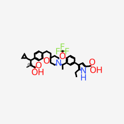 CCc1[nH]c(C(=O)O)cc1-c1ccc(OC(F)(F)F)c(C(C)N2CCC3(CCc4ccc(C(C5CC5)[C@H](C)C(=O)O)cc4O3)CC2)c1